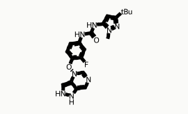 Cn1nc(C(C)(C)C)cc1NC(=O)Nc1ccc(ON2C=NC=C3NNC=C32)c(F)c1